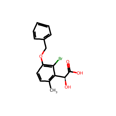 Cc1ccc(OCc2ccccc2)c(Br)c1[C@H](O)C(=O)O